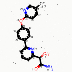 NC(=O)C(O)c1cccc(-c2ccc(Oc3ccc(C(F)(F)F)cn3)cc2)n1